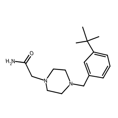 CC(C)(C)c1cccc(CN2CCN(CC(N)=O)CC2)c1